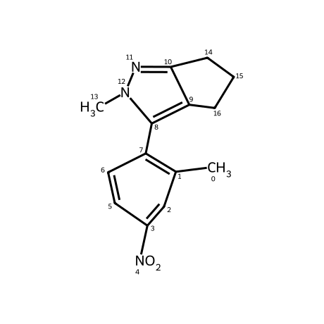 Cc1cc([N+](=O)[O-])ccc1-c1c2c(nn1C)CCC2